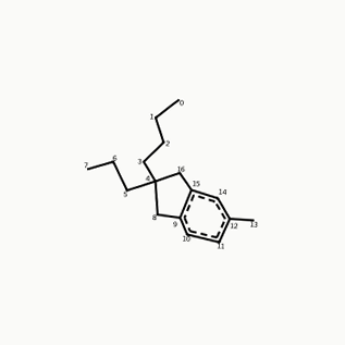 CCCCC1(CCC)Cc2ccc(C)cc2C1